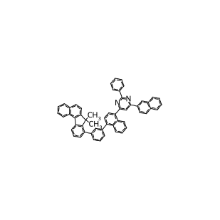 CC1(C)c2ccc3ccccc3c2-c2cccc(-c3cccc(-c4ccc(-c5cc(-c6ccc7ccccc7c6)nc(-c6ccccc6)n5)c5ccccc45)c3)c21